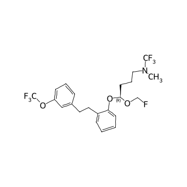 CN(CCC[C@@H](OCF)Oc1ccccc1CCc1cccc(OC(F)(F)F)c1)C(F)(F)F